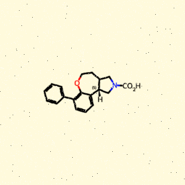 O=C(O)N1CC2CCOc3c(-c4ccccc4)cccc3[C@H]2C1